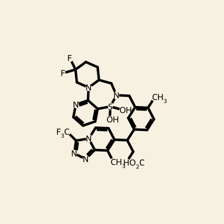 Cc1ccc(C(CC(=O)O)c2ccn3c(C(F)(F)F)nnc3c2C)cc1CN1CC2CCC(F)(F)CN2c2ncccc2S1(O)O